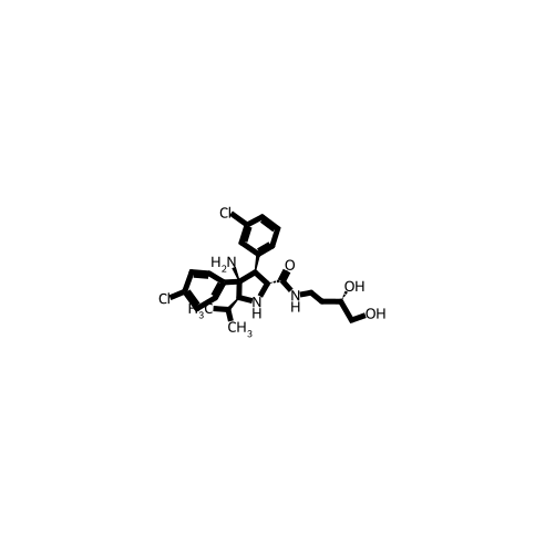 CC(C)[C@@H]1N[C@@H](C(=O)NCC[C@H](O)CO)[C@H](c2cccc(Cl)c2)[C@@]1(N)c1ccc(Cl)cc1